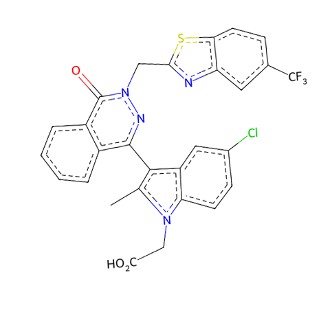 Cc1c(-c2nn(Cc3nc4cc(C(F)(F)F)ccc4s3)c(=O)c3ccccc23)c2cc(Cl)ccc2n1CC(=O)O